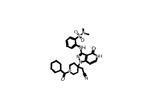 CN(C)S(=O)(=O)c1ccccc1Nc1nn(C2(CC#N)CCN(C(=O)C3CCCCC3)CC2)c2cc[nH]c(=O)c12